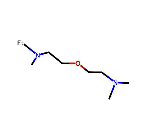 [CH2]CN(C)CCOCCN(C)C